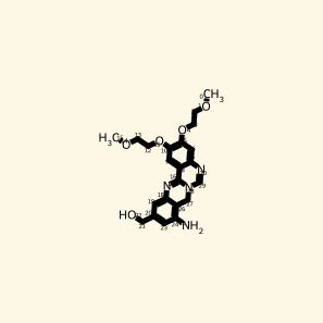 COCCOc1cc2c(cc1OCCOC)C1=Nc3cc(CO)cc(N)c3CN1C=N2